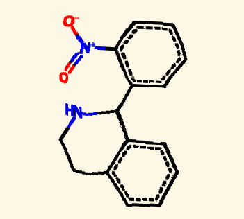 O=[N+]([O-])c1ccccc1C1NCCc2ccccc21